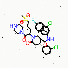 Cc1ccc(F)cc1[C@H]1N(C(CCCS(C)(=O)=O)C(=O)N2CCNCC2)C(=O)C[C@@H](c2cccc(Cl)c2)[C@]12C(=O)Nc1cc(Cl)ccc12